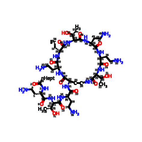 CCCCCCCC(=O)N[C@@H](CCN)C(=O)N[C@H](C(=O)N[C@H](CCN)C(=O)N[C@H]1CCNC(=O)[C@H]([C@@H](C)O)NC(=O)[C@H](CCN)NC(=O)[C@H](CCN)NC(=O)[C@H]([C@@H](C)O)NC(=O)[C@@H](CC(C)C)NC(=O)[C@H](CCN)NC1=O)[C@@H](C)O